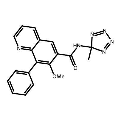 COc1c(C(=O)NC2(C)N=NN=N2)cc2cccnc2c1-c1ccccc1